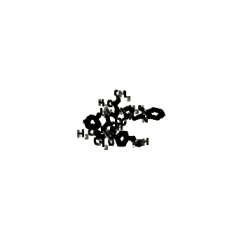 CC[C@H](C)[C@@H](C(=O)N[C@@H](Cc1ccccc1)C(O)CN(CC(C)(C)C)S(=O)(=O)c1ccc(C=NO)cc1)N1CCN(Cc2nc3ccccc3n2C)C1=O